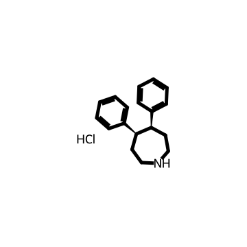 Cl.c1ccc([C@H]2CCNCC[C@H]2c2ccccc2)cc1